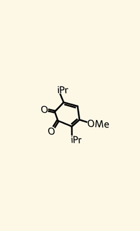 COC1=C(C(C)C)C(=O)C(=O)C(C(C)C)=C1